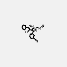 N#Cc1cccc(-c2nn(CN=[N+]=[N-])c3nnc(-c4ccccc4)c(Cl)c23)c1